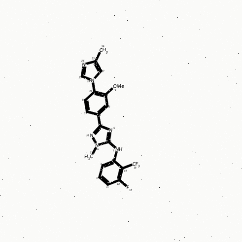 COc1cc(-c2nc(Nc3cccc(F)c3C(F)(F)F)n(C)n2)ccc1-n1cnc(C)c1